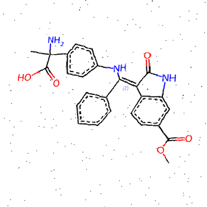 COC(=O)c1ccc2c(c1)NC(=O)/C2=C(\Nc1ccc(C(C)(N)C(=O)O)cc1)c1ccccc1